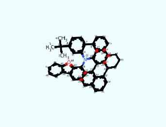 CC(C)(C)c1ccc(-c2ccccc2)c(N(c2ccccc2-c2cccc3cccc(C4CCCCC4)c23)c2cccc3c2oc2ccccc23)c1